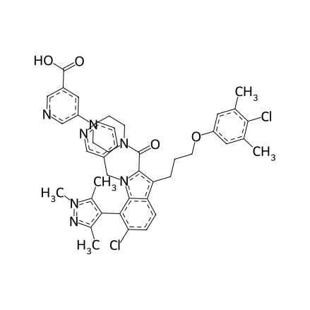 Cc1cc(OCCCc2c(C(=O)N3CCN(c4cncc(C(=O)O)c4)CC3)n(Cc3cccnc3)c3c(-c4c(C)nn(C)c4C)c(Cl)ccc23)cc(C)c1Cl